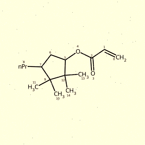 C=CC(=O)OC1CC(CCC)C(C)(C)C1(C)C